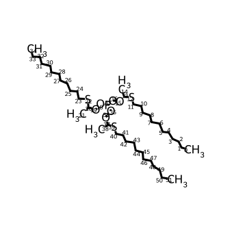 CCCCCCCCCCCCSC(C)OOP(OOC(C)SCCCCCCCCCCCC)OOC(C)SCCCCCCCCCCCC